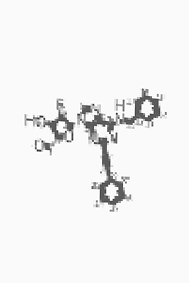 [O]C[C@H]1O[C@@H](n2cnc3c(NCc4ccccc4)nc(C#Cc4ccccc4)nc32)[C@@H](F)[C@@H]1O